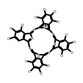 Clc1cc2c(c(Cl)c1Cl)-c1nc-2nc2[nH]c(nc3nc(nc4c5c(Cl)c(Cl)c(Cl)c(Cl)c5c(n1)n4Cl)-c1c(Cl)c(Cl)c(Cl)c(Cl)c1-3)c1c(Cl)c(Cl)c(Cl)c(Cl)c21